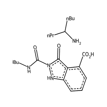 CCC(C)NC(=O)n1[nH]c2cccc(C(=O)O)c2c1=O.CCCCC(N)CCC